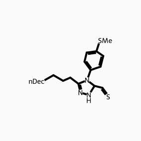 CCCCCCCCCCCCCC1=NNC(C=S)N1c1ccc(SC)cc1